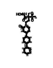 C[C@@](CCn1ccc(-c2ccc(-c3cccnn3)cc2)cc1=O)(C(=O)NO)S(C)(=O)=O